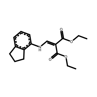 CCOC(=O)C(=CNc1cccc2c1CCC2)C(=O)OCC